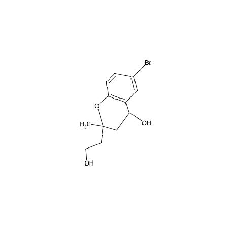 CC1(CCO)CC(O)c2cc(Br)ccc2O1